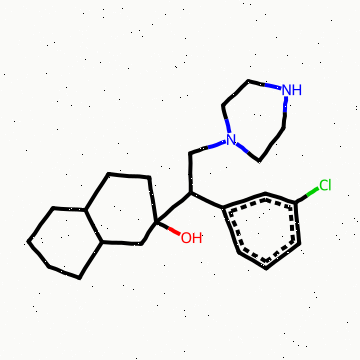 OC1(C(CN2CCNCC2)c2cccc(Cl)c2)CCC2CCCCC2C1